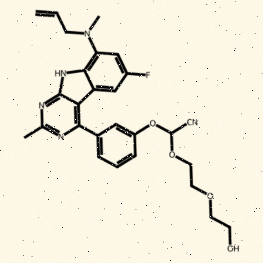 C=CCN(C)c1cc(F)cc2c1[nH]c1nc(C)nc(-c3cccc(OC(C#N)OCCOCCO)c3)c12